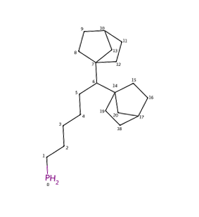 PCCCCCC(C12CCC(CC1)C2)C12CCC(CC1)C2